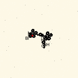 C=CC(=O)Nc1cccc(-c2cnc3c(n2)c(-c2cc4ccc(Cc5cccc(C(c6ccccc6)(c6ccccc6)n6cc(I)c7nc(Br)cnc76)c5)cc4[nH]2)cn3C(c2ccccc2)(c2ccccc2)c2ccccc2)c1